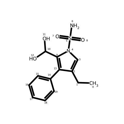 CCc1cn(S(N)(=O)=O)c(C(O)O)c1-c1ccccc1